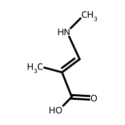 CN/C=C(\C)C(=O)O